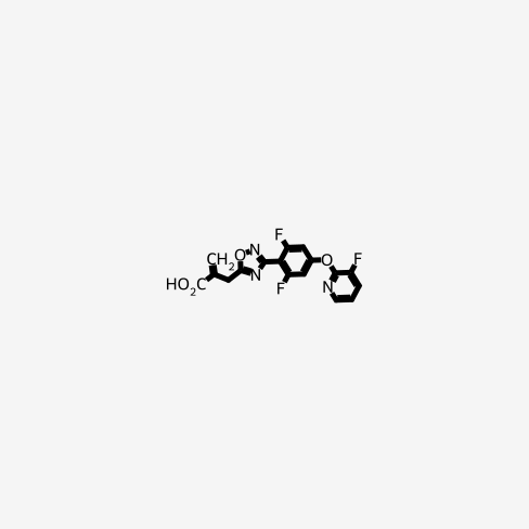 C=C(Cc1nc(-c2c(F)cc(Oc3ncccc3F)cc2F)no1)C(=O)O